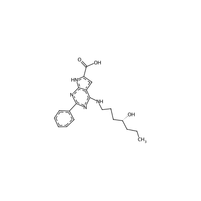 CCC[C@@H](O)CCCNc1nc(-c2ccccc2)nc2[nH]c(C(=O)O)cc12